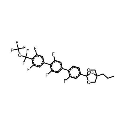 CCCC12COC(c3ccc(-c4cc(F)c(-c5cc(F)c(C(F)(F)OC(F)(F)F)c(F)c5)c(F)c4)c(F)c3)(OC1)O2